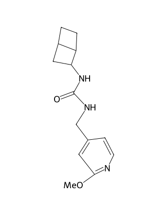 COc1cc(CNC(=O)NC2CC3CCC32)ccn1